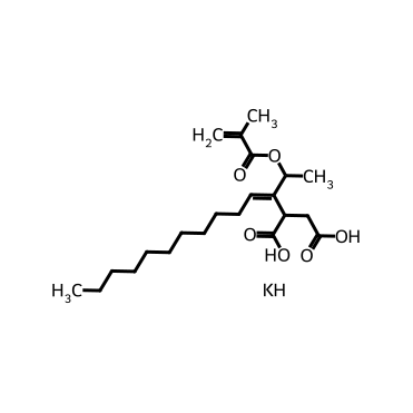 C=C(C)C(=O)OC(C)C(=CCCCCCCCCCC)C(CC(=O)O)C(=O)O.[KH]